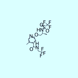 Cc1cnc(OC[C@H](C)NS(=O)(=O)C(F)(F)F)cc1C(=O)NCC(F)(F)F